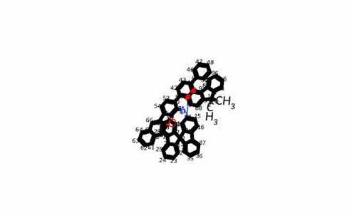 CC1(C)c2ccccc2-c2ccc(N(c3ccc4c(c3)C3(c5ccccc5-c5ccccc53)c3ccccc3-4)c3c(-c4ccc(-c5ccccc5)cc4)ccc4c3oc3cc5ccccc5cc34)cc21